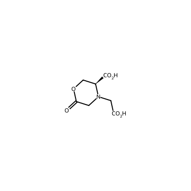 O=C(O)CN1CC(=O)OC[C@H]1C(=O)O